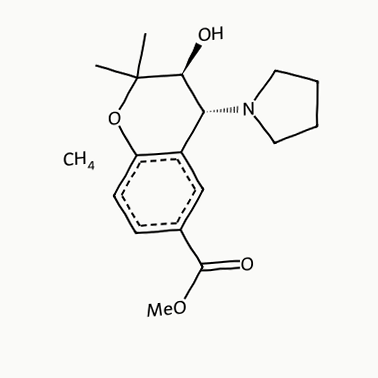 C.COC(=O)c1ccc2c(c1)[C@@H](N1CCCC1)[C@H](O)C(C)(C)O2